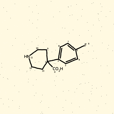 O=C(O)C1(c2ccc(F)cc2)CCNCC1